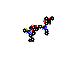 c1ccc2c(c1)Oc1cc(-c3nc(-c4ccc5ccccc5c4)nc4c3sc3ccc(-c5ccc6c(c5)C5(c7ccccc7Oc7ccc(-c8nc(-c9ccc(-c%10cccc%11ccccc%10%11)cc9)nc9c8sc8ccccc89)cc75)c5ccc7ccccc7c5-6)cc34)ccc1C21c2ccccc2-c2c1ccc1ccccc21